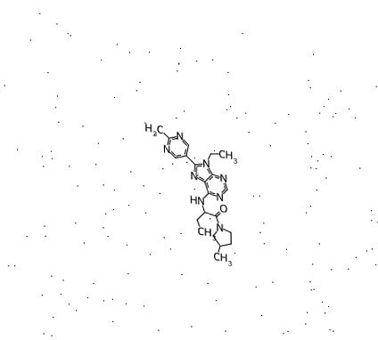 CCC(Nc1ncnc2c1nc(-c1cnc(C)nc1)n2CC)C(=O)N1CCC(C)C1